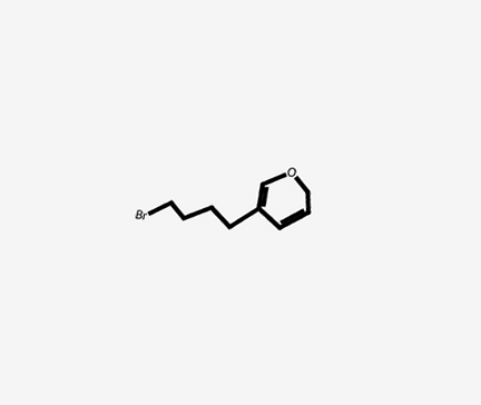 BrCCCCC1=COCC=C1